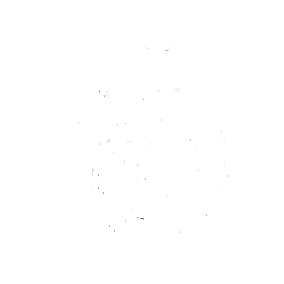 CC(C)C[C@@H](C(=O)NN(CC(C)C)C(=O)[C@@H](C)N)C1(C(=O)NO)C=C(C2CCCCC2)C=CC1.Cc1ccc(S(=O)(=O)O)cc1